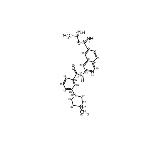 CC(=N)SC(=N)c1ccc2cnc(NC(=O)c3cccc(N4CCN(C)CC4)c3)cc2c1